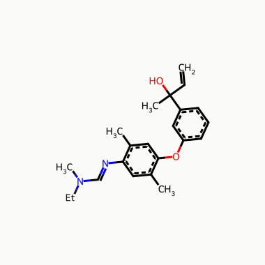 C=CC(C)(O)c1cccc(Oc2cc(C)c(N=CN(C)CC)cc2C)c1